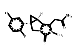 Cn1c(CC(N)=O)c2n(c1=S)C[C@@]1(c3cc(Cl)ccc3F)C[C@@H]21